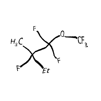 CCC(C)(F)C(F)(F)OC(F)(F)F